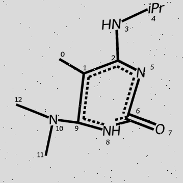 Cc1c(NC(C)C)nc(=O)[nH]c1N(C)C